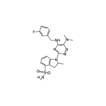 CC1Cc2c(cccc2S(N)(=O)=O)N1c1nnc(N(C)C)c(NCc2cccc(F)c2)n1